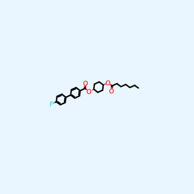 CCCCCCC(=O)O[C@H]1CC[C@H](OC(=O)c2ccc(-c3ccc(F)cc3)cc2)CC1